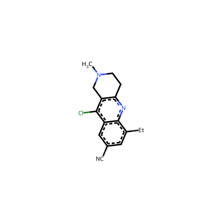 CCc1cc(C#N)cc2c(Cl)c3c(nc12)CCN(C)C3